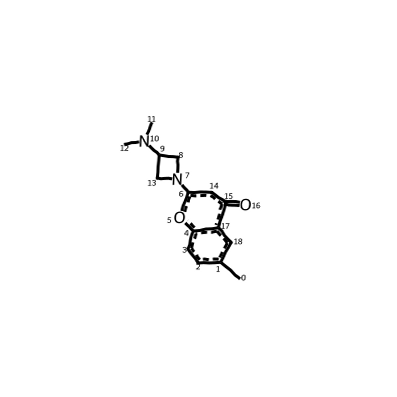 Cc1ccc2oc(N3CC(N(C)C)C3)cc(=O)c2c1